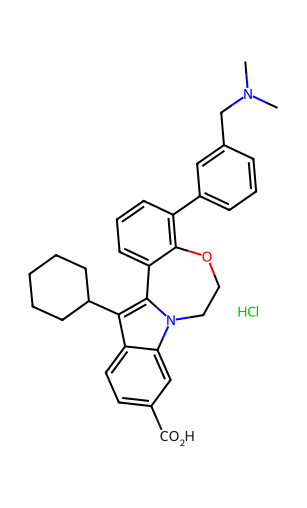 CN(C)Cc1cccc(-c2cccc3c2OCCn2c-3c(C3CCCCC3)c3ccc(C(=O)O)cc32)c1.Cl